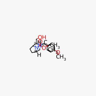 COc1ccc(CN2C[C@H]3CCC([C@H]2CO)N3C(=O)OC(C)(C)C)cc1